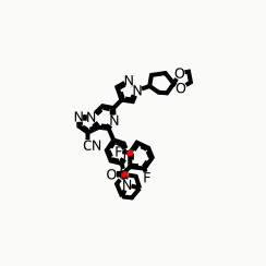 N#Cc1cnn2cc(-c3cnn(C4CCC5(CC4)OCCO5)c3)nc(-c3ccc(N4CC5CC(C4)N5C(=O)c4c(F)cccc4F)nc3)c12